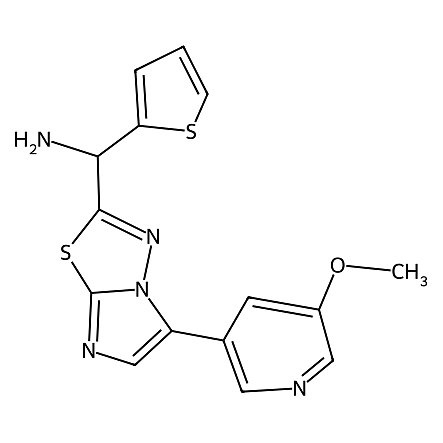 COc1cncc(-c2cnc3sc(C(N)c4cccs4)nn23)c1